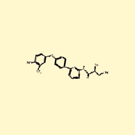 N#Cc1ccc(Oc2ccc(-c3cccc(NC(=O)C(O)CO)n3)cc2)cc1C(F)(F)F